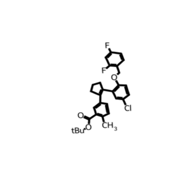 Cc1ccc(C2=C(c3cc(Cl)ccc3OCc3ccc(F)cc3F)CCC2)cc1C(=O)OC(C)(C)C